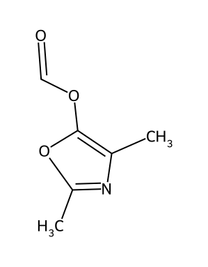 Cc1nc(C)c(OC=O)o1